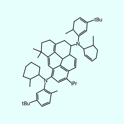 Cc1ccc(C(C)(C)C)cc1N(c1cc(C(C)C)c2c3c1C=C1C4=C(CCC1(C)C)CC(N(C1=CC(C(C)(C)C)=CCC1C)C1C=CCCC1C)C(C=C2)C43)C1CCCCC1C